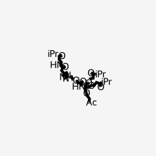 CC(=O)CCOCC(COCCC(=O)C(C)C)(COCCC(=O)C(C)C)NC(=O)COCCn1cc(CC(=O)NCCC(=O)C(C)C)nn1